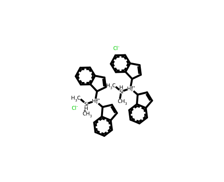 C[SiH](C)[Hf+]([CH]1C=Cc2ccccc21)[CH]1C=Cc2ccccc21.C[SiH](C)[Hf+]([CH]1C=Cc2ccccc21)[CH]1C=Cc2ccccc21.[Cl-].[Cl-]